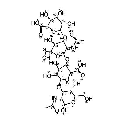 CC(=O)NC1C(O)OC(CO)[C@@H](O)[C@@H]1O[C@@H]1OC(C(=O)O)[C@H](O[C@@H]2OC(CO)[C@@H](O)[C@H](O[C@@H]3OC(C(=O)O)[C@@H](O)[C@H](O)C3O)C2NC(C)=O)[C@H](O)C1O